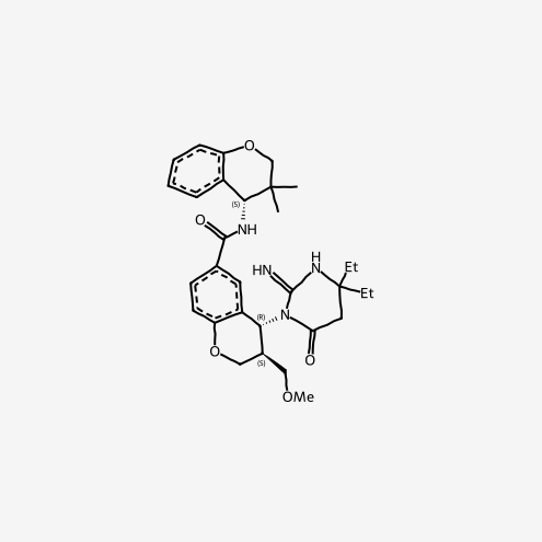 CCC1(CC)CC(=O)N([C@H]2c3cc(C(=O)N[C@@H]4c5ccccc5OCC4(C)C)ccc3OC[C@@H]2COC)C(=N)N1